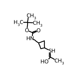 CC(O)=[SH]C1CC(NC(=O)OC(C)(C)C)C1